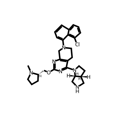 CN1CCC[C@H]1COc1nc2c(c(N3CC[C@@H]4CNC[C@@H]43)n1)CCN(c1cccc3cccc(Cl)c13)C2